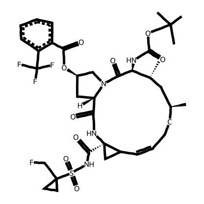 C[C@H]1CC/C=C\C2C[C@@]2(C(=O)NS(=O)(=O)C2(CF)CC2)NC(=O)[C@@H]2C[C@@H](OC(=O)c3ccccc3C(F)(F)F)CN2C(=O)[C@@H](NC(=O)OC(C)(C)C)[C@H](C)C1